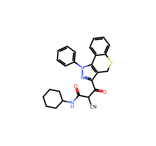 N#CC(C(=O)NC1CCCCC1)C(=O)c1nn(-c2ccccc2)c2c1CSc1ccccc1-2